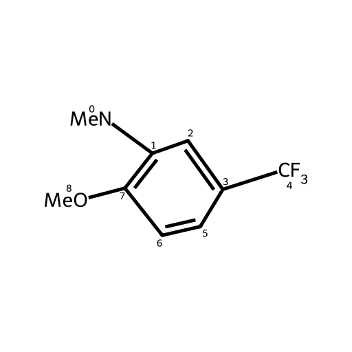 CNc1cc(C(F)(F)F)ccc1OC